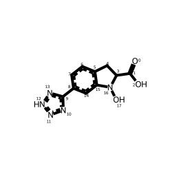 O=C(O)C1Cc2ccc(-c3nn[nH]n3)cc2N1O